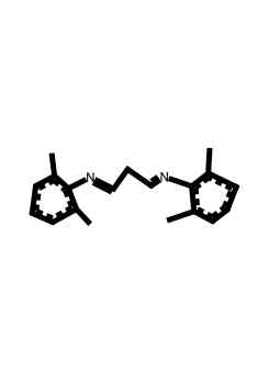 Cc1cccc(C)c1/N=C/C/C=N/c1c(C)cccc1C